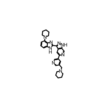 c1cc(N2CCCCC2)c2nc(-c3n[nH]c4cnc(-c5cncc(CN6CCCCC6)c5)cc34)[nH]c2c1